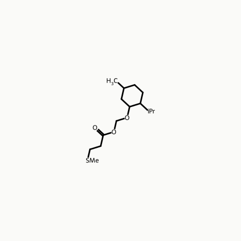 CSCCC(=O)OCOC1CC(C)CCC1C(C)C